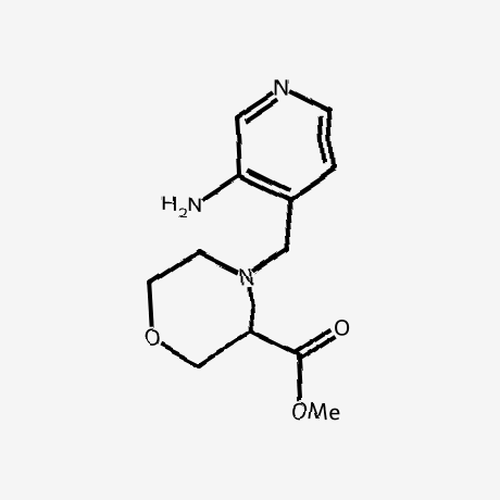 COC(=O)C1COCCN1Cc1ccncc1N